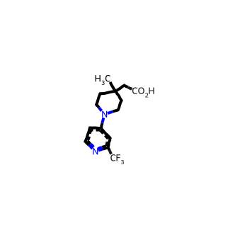 CC1(CC(=O)O)CCN(c2ccnc(C(F)(F)F)c2)CC1